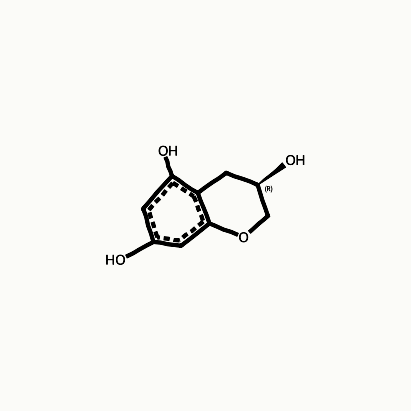 Oc1cc(O)c2c(c1)OC[C@H](O)C2